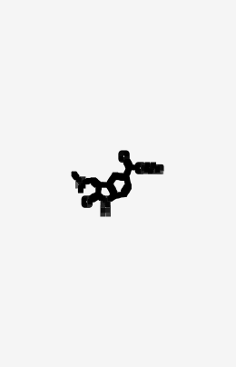 COC(=O)c1ccc2c(c1)/C(=C/N(C)C)C(=O)N2